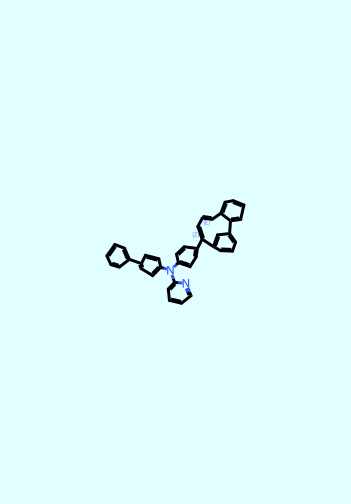 C1=C(/c2ccc(N(c3ccc(-c4ccccc4)cc3)c3ccccn3)cc2)c2cccc(c2)-c2ccccc2/C=C/1